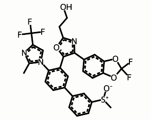 Cc1nc(C(F)(F)F)cn1-c1ccc(-c2cccc([S+](C)[O-])c2)cc1-c1oc(CCO)nc1-c1ccc2c(c1)OC(F)(F)O2